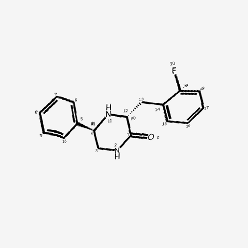 O=C1NC[C@@H](c2ccccc2)N[C@@H]1Cc1ccccc1F